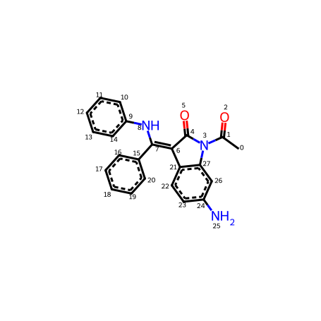 CC(=O)N1C(=O)/C(=C(\Nc2ccccc2)c2ccccc2)c2ccc(N)cc21